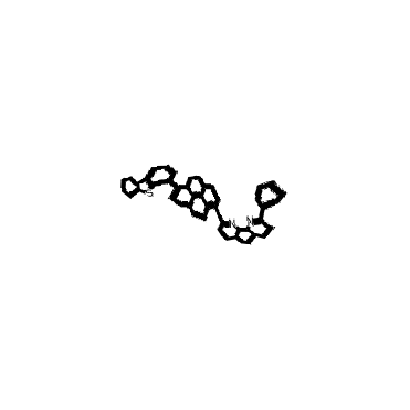 c1ccc(-c2ccc3ccc4ccc(-c5ccc6ccc7c(-c8cccc9c8sc8ccccc89)ccc8ccc5c6c87)nc4c3n2)cc1